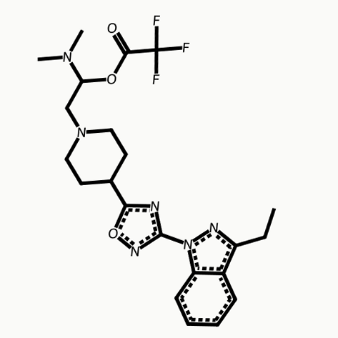 CCc1nn(-c2noc(C3CCN(CC(OC(=O)C(F)(F)F)N(C)C)CC3)n2)c2ccccc12